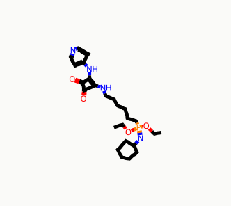 CCOP(CCCCCCNc1c(Nc2ccncc2)c(=O)c1=O)(=NC1CCCCC1)OCC